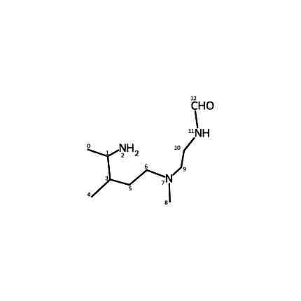 CC(N)C(C)CCN(C)CCNC=O